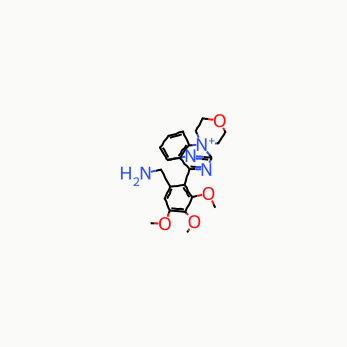 COc1cc(CN)c(-c2nc3nc4cccc(c24)[N+]32CCOCC2)c(OC)c1OC